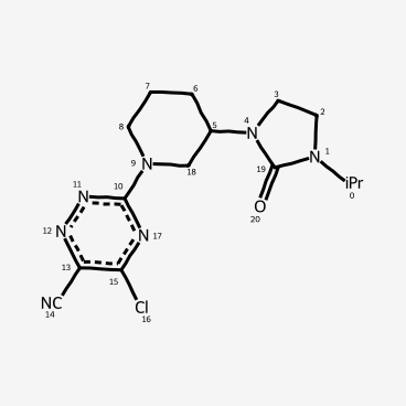 CC(C)N1CCN(C2CCCN(c3nnc(C#N)c(Cl)n3)C2)C1=O